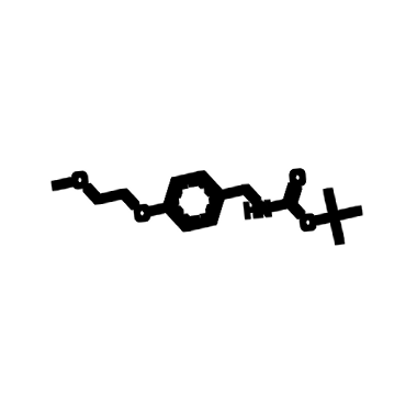 COCCOc1ccc(CNC(=O)OC(C)(C)C)cc1